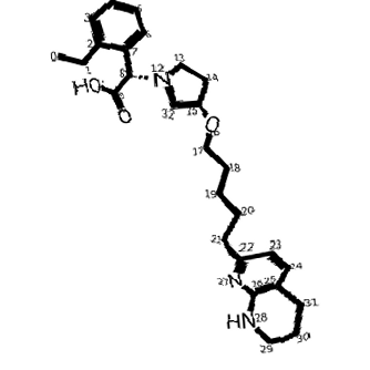 CCc1ccccc1[C@@H](C(=O)O)N1CC[C@@H](OCCCCCc2ccc3c(n2)NCCC3)C1